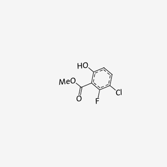 COC(=O)c1c(O)ccc(Cl)c1F